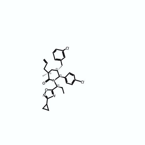 C=CC[C@@]1(C)C[C@H](Cc2cccc(Cl)c2)[C@@H](c2ccc(Cl)cc2)N([C@@H](CC)c2nc(C3CC3)no2)C1=O